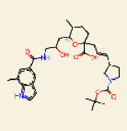 Cc1cc(C(=O)NCC(O)C[C@@H]2OC(C/C=C/C3CCN(C(=O)OC(C)(C)C)C3)(C(=O)O)CCC2C)cc2cc[nH]c12